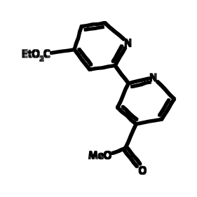 CCOC(=O)c1ccnc(-c2cc(C(=O)OC)ccn2)c1